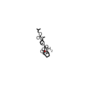 CC(C)COC(=O)N(C)[C@@H]1CCN(C(=O)OC2CC3CCC(C2)N3C(N)=O)C1